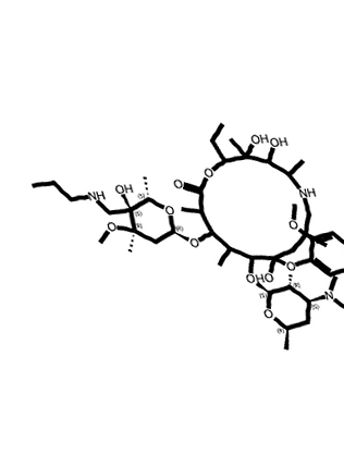 CCCNC[C@]1(O)[C@H](C)O[C@@H](OC2C(C)C(=O)OC(CC)C(C)(O)C(O)C(C)NCC(C)CC(C)(O)C(O[C@@H]3O[C@H](C)C[C@H](N(C)C)[C@H]3Oc3ccccc3OC)C2C)C[C@@]1(C)OC